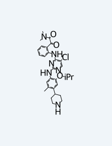 Cc1cc(Nc2ncc(Cl)c(Nc3ccccc3C(=O)C(=O)N(C)C)n2)c(OC(C)C)cc1C1CCNCC1